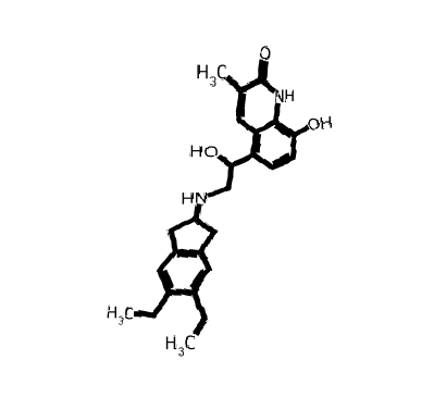 CCc1cc2c(cc1CC)CC(NCC(O)c1ccc(O)c3[nH]c(=O)c(C)cc13)C2